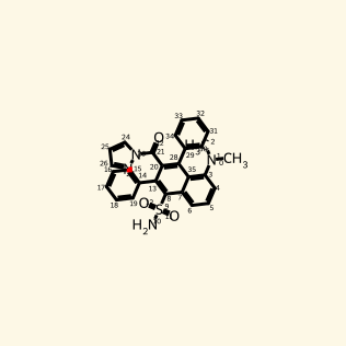 CN(C)c1cccc2c(S(N)(=O)=O)c(-c3ccccc3)c(C(=O)n3cccn3)c(-c3ccccc3)c12